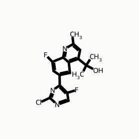 Cc1cc(C(C)(C)O)c2cc(-c3nc(Cl)ncc3F)cc(F)c2n1